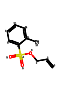 C=CCOS(=O)(=O)c1ccccc1CC